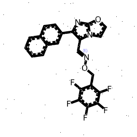 Fc1c(F)c(F)c(CO/N=C/c2c(-c3ccc4ccccc4c3)nc3occn23)c(F)c1F